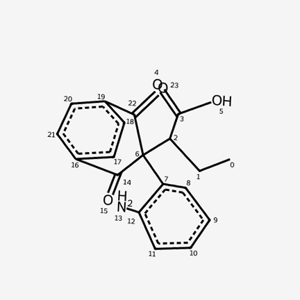 CCC(C(=O)O)C1(c2ccccc2N)C(=O)c2ccc(cc2)C1=O